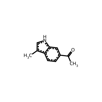 CC(=O)c1ccc2c(C)c[nH]c2c1